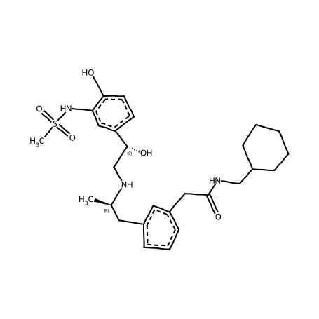 C[C@H](Cc1cccc(CC(=O)NCC2CCCCC2)c1)NC[C@@H](O)c1ccc(O)c(NS(C)(=O)=O)c1